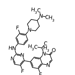 CC(C)n1c(=O)cnc2c(F)cc(-c3nc(Nc4ccc(N5CCC(N(C)C)CC5)c(F)c4)ncc3F)cc21